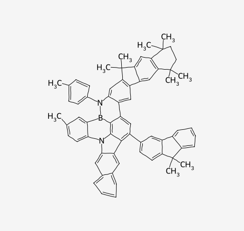 Cc1ccc(N2B3c4cc(C)ccc4-n4c5cc6ccccc6cc5c5c(-c6ccc7c(c6)-c6ccccc6C7(C)C)cc(c3c54)-c3cc4c(cc32)C(C)(C)c2cc3c(cc2-4)C(C)(C)CCC3(C)C)cc1